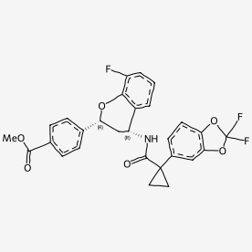 COC(=O)c1ccc([C@H]2C[C@@H](NC(=O)C3(c4ccc5c(c4)OC(F)(F)O5)CC3)c3cccc(F)c3O2)cc1